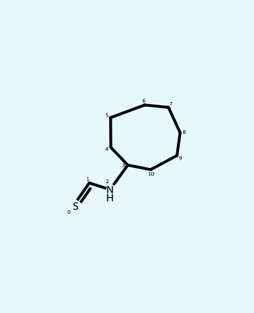 S=CNC1CCCCCCC1